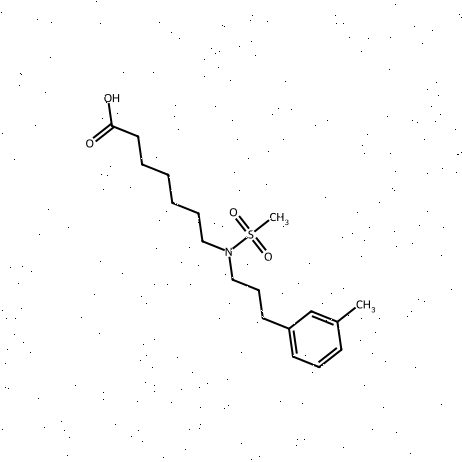 Cc1cccc(CCCN(CCCCCCC(=O)O)S(C)(=O)=O)c1